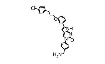 NCc1ccc(-n2cc3cc(-c4cccc(OCCCc5ccc(Cl)cc5)c4)[nH]c3nc2=O)cc1